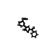 COc1cc(-c2cc(C(=O)N3CCCCC3)n[nH]2)ccn1